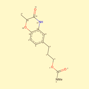 CNC(=O)OCCCc1ccc2c(c1)NC(=O)C(C)O2